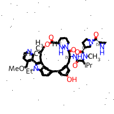 CCn1c(-c2cnccc2COC)c2c3cc(ccc31)-c1cc(O)cc(c1)C[C@H](NC(=O)C(C(C)C)N(C)C(=O)[C@H]1CCN(C(=O)[C@@H]3CN3)C1)C(=O)N1CCC[C@H](N1)C(=O)OCC(C)(C)C2